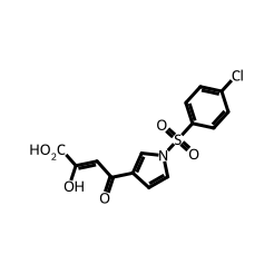 O=C(O)C(O)=CC(=O)c1ccn(S(=O)(=O)c2ccc(Cl)cc2)c1